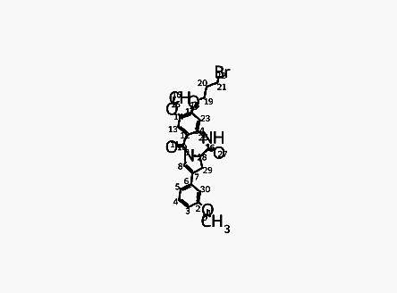 COc1cccc(C2=CN3C(=O)c4cc(OC)c(OCCCBr)cc4NC(=O)C3C2)c1